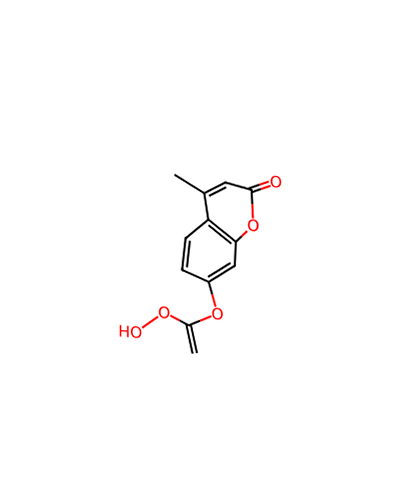 C=C(OO)Oc1ccc2c(C)cc(=O)oc2c1